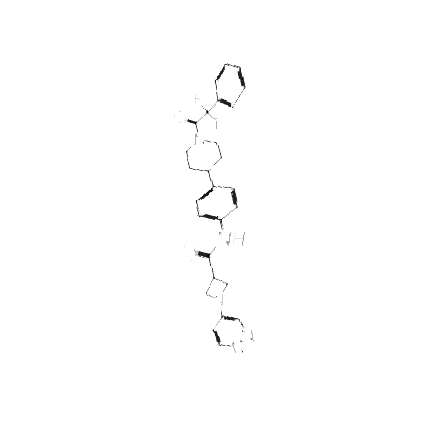 O=C(Nc1ccc(C2CCN(C(=O)C(F)(F)c3ccccc3)CC2)cc1)C1CN(c2ccnnc2)C1